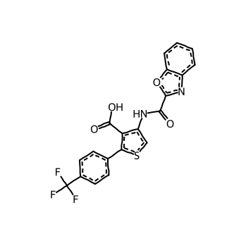 O=C(Nc1csc(-c2ccc(C(F)(F)F)cc2)c1C(=O)O)c1nc2ccccc2o1